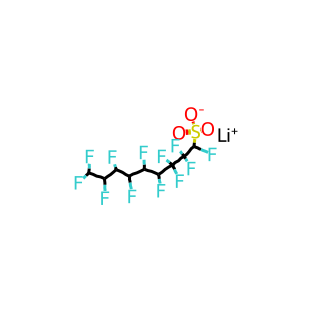 O=S(=O)([O-])C(F)C(F)(F)C(F)(F)C(F)C(F)C(F)C(F)C(F)C(F)F.[Li+]